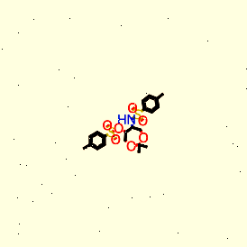 Cc1ccc(S(=O)(=O)NC2COC(C)(C)OCC2OS(=O)(=O)c2ccc(C)cc2)cc1